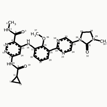 CNC(=O)c1nnc(NC(=O)C2CC2)cc1Nc1cccc(-c2ncc(N3CCN(C)C3=O)cn2)c1OC